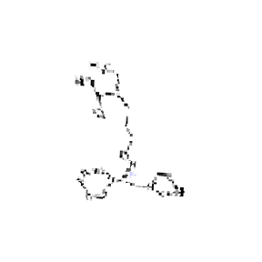 CCC(CCCO/N=C(/Cn1ccnc1)c1cccnc1)C(=O)O